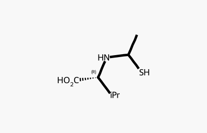 CC(S)N[C@@H](C(=O)O)C(C)C